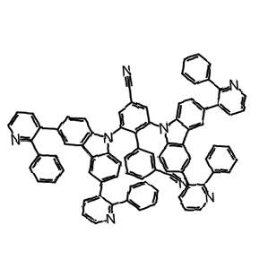 N#Cc1cccc(-c2c(-n3c4ccc(-c5cccnc5-c5ccccc5)cc4c4cc(-c5cccnc5-c5ccccc5)ccc43)cc(C#N)cc2-n2c3ccc(-c4cccnc4-c4ccccc4)cc3c3cc(-c4cccnc4-c4ccccc4)ccc32)c1